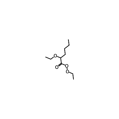 CCCCC(OCC)C(=O)OOCC